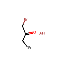 Br.CC(C)CC(=O)CBr